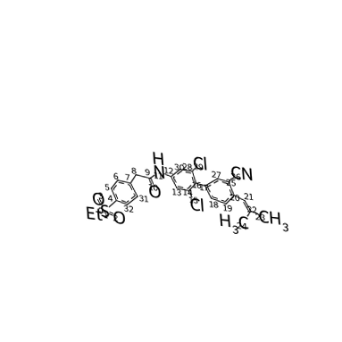 CCS(=O)(=O)c1ccc(CC(=O)Nc2cc(Cl)c(-c3ccc(C=C(C)C)c(C#N)c3)c(Cl)c2)cc1